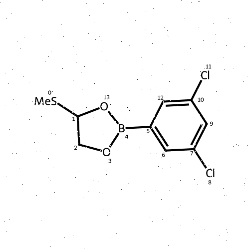 CSC1COB(c2cc(Cl)cc(Cl)c2)O1